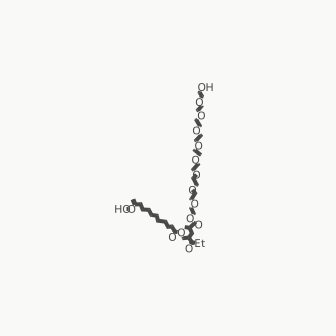 C=C(CCCCCCCCCC(=O)OCC(CC(C)C(=O)OCCOCCOCCOCCOCCOCCOCCOCCOCCO)C(=O)CC)OO